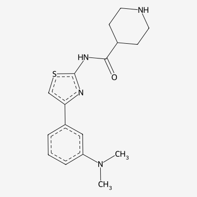 CN(C)c1cccc(-c2csc(NC(=O)C3CCNCC3)n2)c1